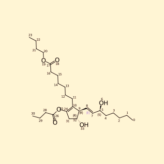 CCCCC[C@H](O)/C=C/[C@@H]1C(CCCCCCC(=O)OCCCC)=C(OC(=O)CCC)C[C@H]1O